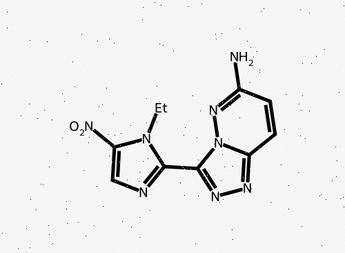 CCn1c([N+](=O)[O-])cnc1-c1nnc2ccc(N)nn12